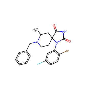 CC1CC2(CCN1Cc1ccccc1)C(=O)NC(=O)N2c1cc(F)ccc1Br